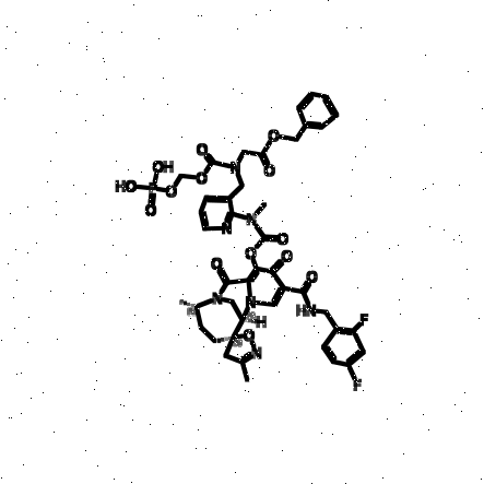 CC1=NO[C@@]2(CC[C@H](C)N3C[C@H]2n2cc(C(=O)NCc4ccc(F)cc4F)c(=O)c(OC(=O)N(C)c4ncccc4CN(CC(=O)OCc4ccccc4)C(=O)OCOP(=O)(O)O)c2C3=O)C1